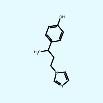 CC(CCn1ccnc1)c1ccc(O)cc1